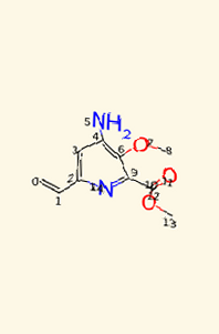 C=Cc1cc(N)c(OC)c(C(=O)OC)n1